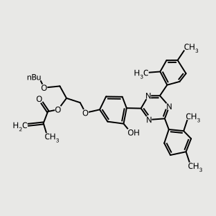 C=C(C)C(=O)OC(COCCCC)COc1ccc(-c2nc(-c3ccc(C)cc3C)nc(-c3ccc(C)cc3C)n2)c(O)c1